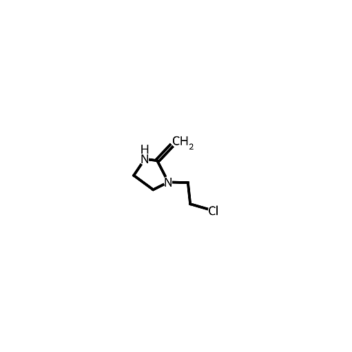 C=C1NCCN1CCCl